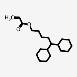 C=CC(=O)OCCCCC(C1CCCCC1)C1CCCCC1